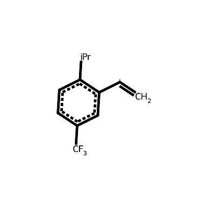 C=[C]c1cc(C(F)(F)F)ccc1C(C)C